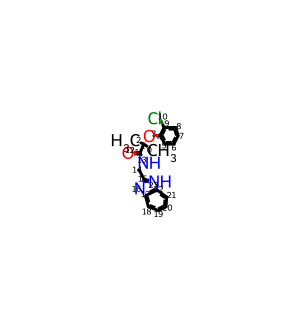 CC(C)(Oc1ccccc1Cl)C(=O)NCc1nc2ccccc2[nH]1